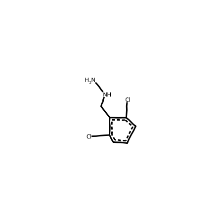 NNCc1c(Cl)cccc1Cl